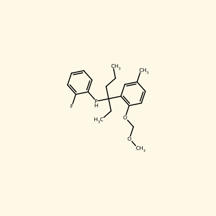 CCCC(CC)(Pc1ccccc1F)c1cc(C)ccc1OCOC